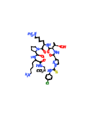 CC(O)C(NC(=O)c1ccn(C(=S)Nc2ccc(Cl)cc2)n1)C(=O)NC(CCCCN)C(=O)N1CCCC1C(=O)NC(CCCCN)C(=O)NCC(=O)O